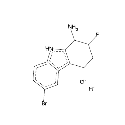 NC1c2[nH]c3ccc(Br)cc3c2CCC1F.[Cl-].[H+]